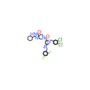 CN(Cc1ccc(F)cc1F)[C@H]1C[C@@H](C(=O)N2CCC3(CC2)N=C(C2CCCCC2)NC3=O)N(Cc2ccc(Cl)c(Cl)c2)C1